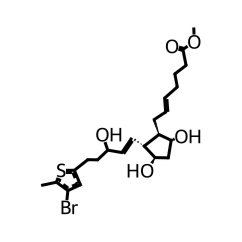 COC(=O)CCCC=CC[C@@H]1[C@@H](C=CC(O)CCc2cc(Br)c(C)s2)[C@H](O)C[C@@H]1O